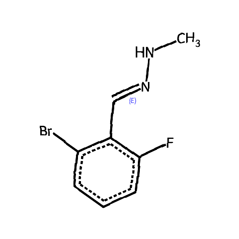 CN/N=C/c1c(F)cccc1Br